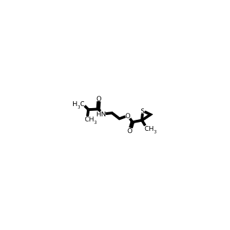 CC(C)C(=O)NCCOC(=O)C1(C)CS1